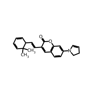 CC1(C)C=CC=CC1/C=C/c1cc2ccc(N3C=CCC3)cc2oc1=O